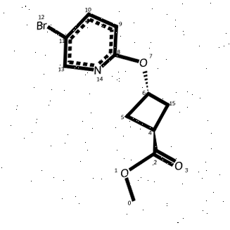 COC(=O)[C@H]1C[C@H](Oc2ccc(Br)cn2)C1